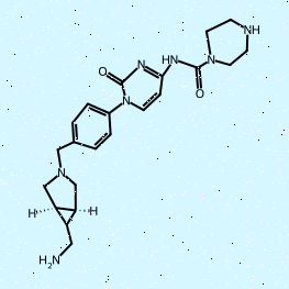 NCC1[C@H]2CN(Cc3ccc(-n4ccc(NC(=O)N5CCNCC5)nc4=O)cc3)C[C@@H]12